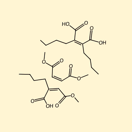 CCCC/C(C(=O)O)=C(\CCCC)C(=O)O.CCCCC(=CC(=O)OC)C(=O)O.COC(=O)/C=C\C(=O)OC